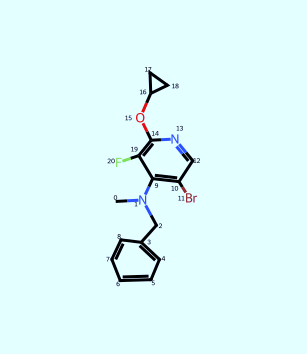 CN(Cc1ccccc1)c1c(Br)cnc(OC2CC2)c1F